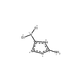 CCN(CC)c1nnc(N)[nH]1